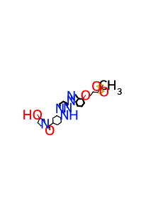 CS(=O)(=O)CCCOc1cccc2c1cnn2-c1ccnc(NC2CCC(C(=O)N3CCC(O)C3)CC2)n1